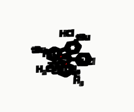 Cl.Cl.[CH2]=[Zr]([CH3])([C]1=C(C)C(c2ccccc2)=CC1C)([c]1ccc(C)cc1)[c]1cc(C(C)(C)C)cc2c1Cc1ccc(C(C)(C)C)cc1-2